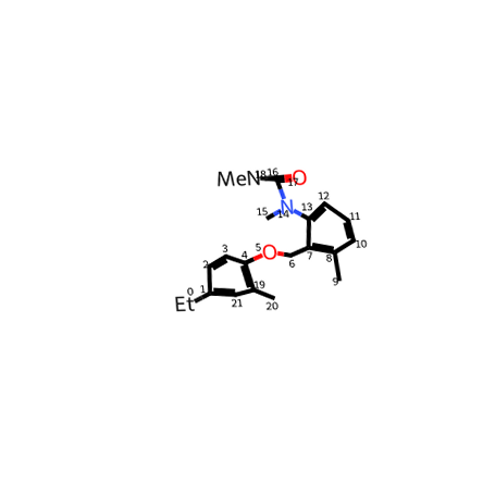 CCc1ccc(OCc2c(C)cccc2N(C)C(=O)NC)c(C)c1